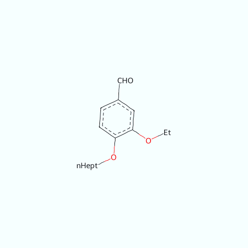 CCCCCCCOc1ccc(C=O)cc1OCC